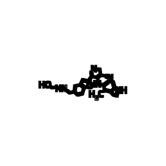 Cc1c(Nc2c(C#N)cncc2-c2cc3cc(CNCCCO)ccc3o2)ccc2[nH]ccc12